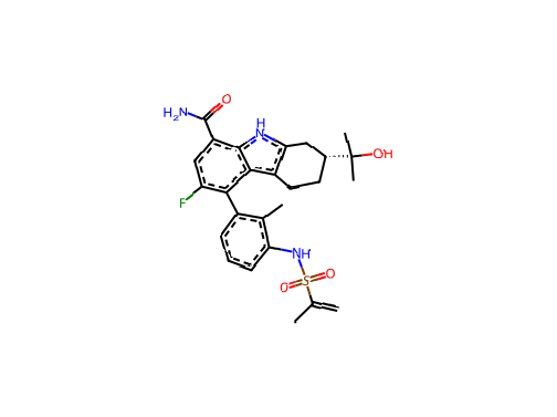 C=C(C)S(=O)(=O)Nc1cccc(-c2c(F)cc(C(N)=O)c3[nH]c4c(c23)CC[C@@H](C(C)(C)O)C4)c1C